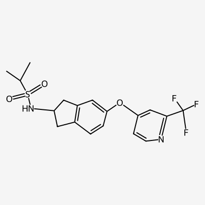 CC(C)S(=O)(=O)NC1Cc2ccc(Oc3ccnc(C(F)(F)F)c3)cc2C1